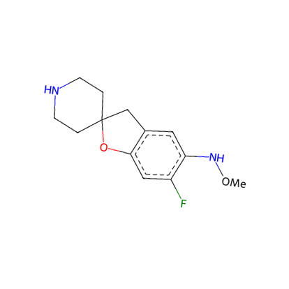 CONc1cc2c(cc1F)OC1(CCNCC1)C2